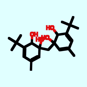 CC1=CC(O)(CC2(O)C=C(C)C=C(C(C)(C)C)C2O)C(O)C(C(C)(C)C)=C1